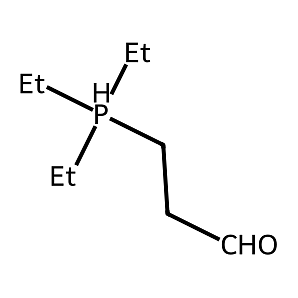 CC[PH](CC)(CC)CCC=O